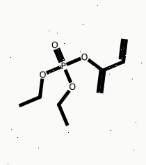 C=CC(=C)OP(=O)(OCC)OCC